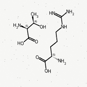 C[C@@H](O)[C@H](N)C(=O)O.N=C(N)NCCC[C@H](N)C(=O)O